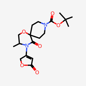 CC1COC2(CCN(C(=O)OC(C)(C)C)CC2)C(=O)N1C1=CC(=O)OC1